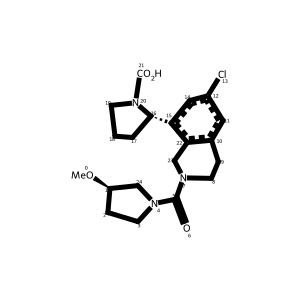 CO[C@@H]1CCN(C(=O)N2CCc3cc(Cl)cc([C@@H]4CCCN4C(=O)O)c3C2)C1